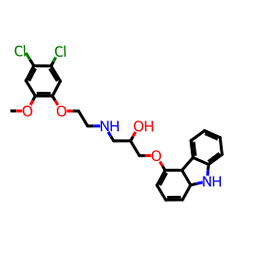 COc1cc(Cl)c(Cl)cc1OCCNCC(O)COC1=CC=CC2Nc3ccccc3C12